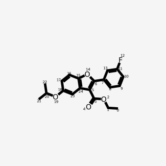 CCOC(=O)c1c(-c2cccc(F)c2)oc2ccc(OC(C)C)cc12